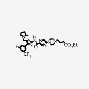 CCOC(=O)CCCN1CCN(c2cnc(C(=O)Nc3nc(-c4cc(F)cc(C(F)(F)F)c4)c(CN4CCCC4C)s3)cn2)CC1